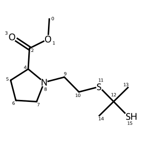 COC(=O)C1CCCN1CCSC(C)(C)S